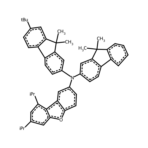 CC(C)c1cc(C(C)C)c2c(c1)oc1ccc(N(c3ccc4c(c3)C(C)(C)c3ccccc3-4)c3ccc4c(c3)C(C)(C)c3cc(C(C)(C)C)ccc3-4)cc12